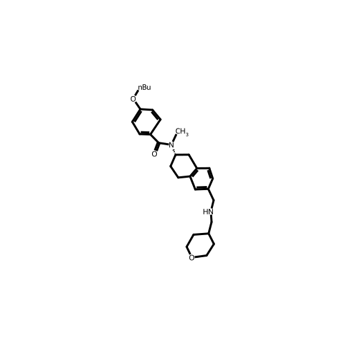 CCCCOc1ccc(C(=O)N(C)[C@H]2CCc3cc(CNCC4CCOCC4)ccc3C2)cc1